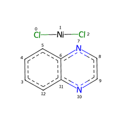 [Cl][Ni][Cl].c1ccc2nccnc2c1